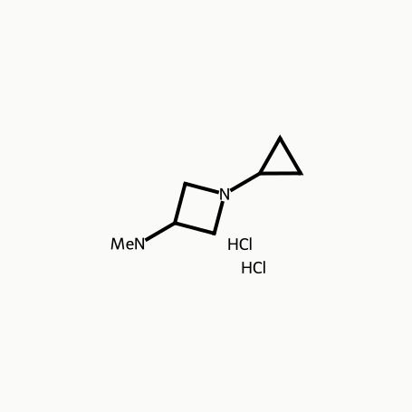 CNC1CN(C2CC2)C1.Cl.Cl